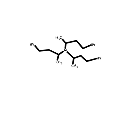 CC(C)CC[CH](C)[Al]([CH](C)CCC(C)C)[CH](C)CCC(C)C